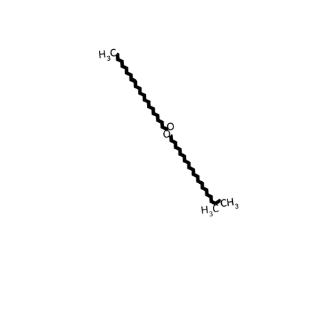 CCCCCCCCC=CCCCCCCCCCCCCCC(=O)OCCCCCCCCCCCCCCCCCCCCC(C)CC